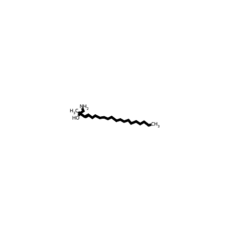 CCCCCCCCCCCCCCCCC=CC(C)(O)CN